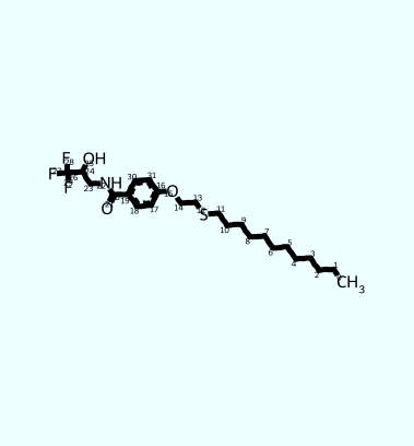 CCCCCCCCCCCCSCCOc1ccc(C(=O)NCC(O)C(F)(F)F)cc1